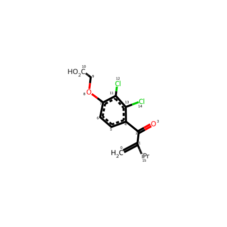 C=C(C(=O)c1ccc(OCC(=O)O)c(Cl)c1Cl)C(C)C